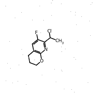 CC(Cl)c1nc2c(cc1F)CCCO2